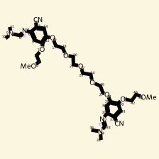 COCCOc1cc(/N=C/N(C)C)c(C#N)cc1OCCOCCOCCOCCOc1cc(/N=C/N(C)C)c(C#N)cc1OCCOC